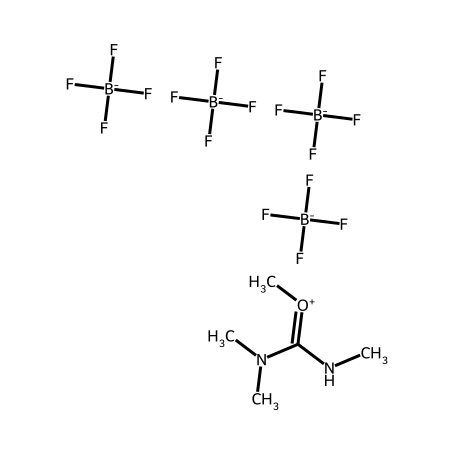 CNC(=[O+]C)N(C)C.F[B-](F)(F)F.F[B-](F)(F)F.F[B-](F)(F)F.F[B-](F)(F)F